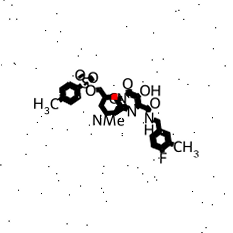 CNC12CCC(COS(=O)(=O)c3ccc(C)cc3)(CC1)Cn1c2nc(C(=O)NCc2ccc(F)c(C)c2)c(O)c1=O